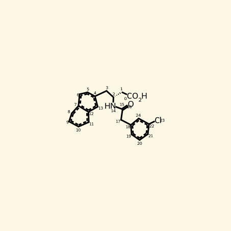 O=C(O)C[C@@H](Cc1ccc2ccccc2c1)NC(=O)Cc1cccc(Cl)c1